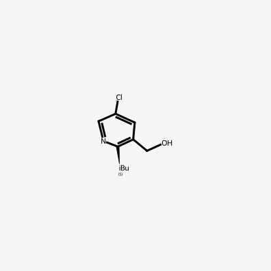 CC[C@H](C)c1ncc(Cl)cc1CO